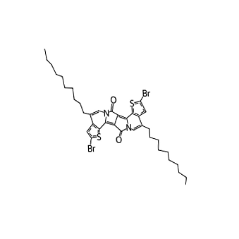 CCCCCCCCCCC1=CN2C(=O)C3=C4c5sc(Br)cc5C(CCCCCCCCCC)=CN4C(=O)C3=C2c2sc(Br)cc21